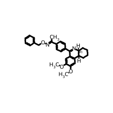 COc1cc2c(cc1OC)[C@H]1CCCC[C@H]1N=C2c1ccc(C(C)=NOCc2ccccc2)cc1